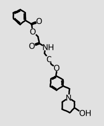 O=C(COC(=O)c1ccccc1)NCCCOc1cccc(CN2CCCC(O)C2)c1